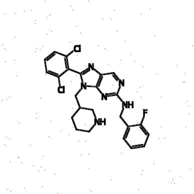 Fc1ccccc1CNc1ncc2nc(-c3c(Cl)cccc3Cl)n(CC3CCCNC3)c2n1